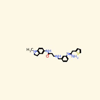 CN1CCc2cc(NC(=O)CCNCc3cccc(/N=C(\N)Cc4cccs4)c3)ccc21